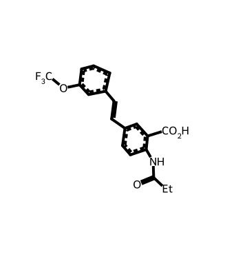 CCC(=O)Nc1ccc(C=Cc2cccc(OC(F)(F)F)c2)cc1C(=O)O